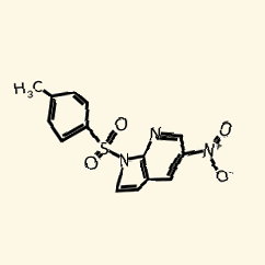 Cc1ccc(S(=O)(=O)n2ccc3cc([N+](=O)[O-])cnc32)cc1